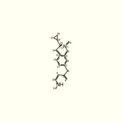 C=N/C=c1/cc(CC(=C)/C=C\NC)cc/c1=C/C(=C)C1CC1